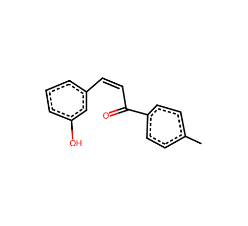 Cc1ccc(C(=O)/C=C\c2cccc(O)c2)cc1